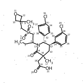 CCC(CS(=O)(=O)CC1(C)COC1)N1C(=O)[C@@](C)(CC(=O)O)C[C@H](c2cccc(Cl)c2)[C@H]1c1ccc(Cl)cc1